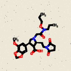 CCCON(CCC)C(=O)CN1C[C@H](c2cc(OC)c3c(c2)OCO3)C(C(=O)O)[C@@H]1CCN1C(=O)CCC1=O